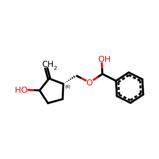 C=C1C(O)CC[C@H]1COC(O)c1ccccc1